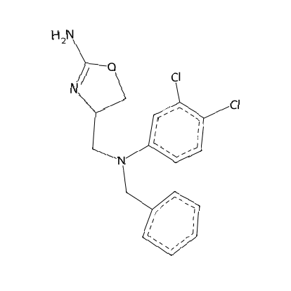 NC1=NC(CN(Cc2ccccc2)c2ccc(Cl)c(Cl)c2)CO1